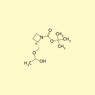 CC(O)OC[C@@H]1CCN1C(=O)OC(C)(C)C